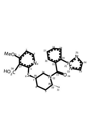 COc1ccnc(S[C@@H]2CC[C@@H](C)N(C(=O)c3ccccc3-n3nccn3)C2)c1C(=O)O